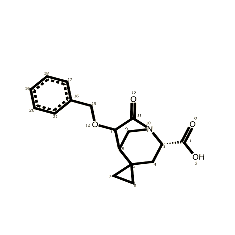 O=C(O)[C@@H]1CC2(CC2)C2CN1C(=O)C2OCc1ccccc1